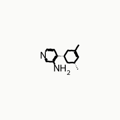 CC1=C[C@H](C)C[C@H](c2ccncc2N)C1